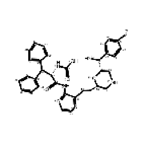 O=C(O)N[C@H](C(=O)Nc1nccnc1CC[C@@H]1CNC[C@@H](C(S)c2ccc(Cl)cc2)O1)C(c1ccccc1)c1ccccc1